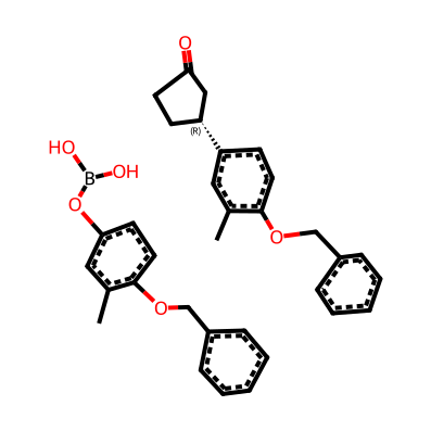 Cc1cc(OB(O)O)ccc1OCc1ccccc1.Cc1cc([C@@H]2CCC(=O)C2)ccc1OCc1ccccc1